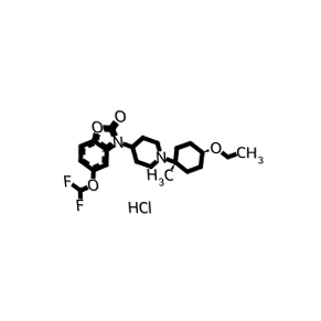 CCO[C@H]1CC[C@](C)(N2CCC(n3c(=O)oc4ccc(OC(F)F)cc43)CC2)CC1.Cl